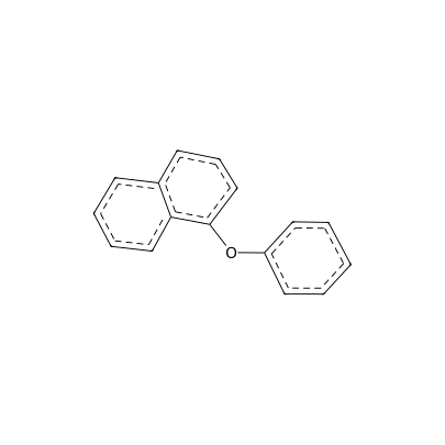 c1ccc(Oc2cccc3ccccc23)cc1